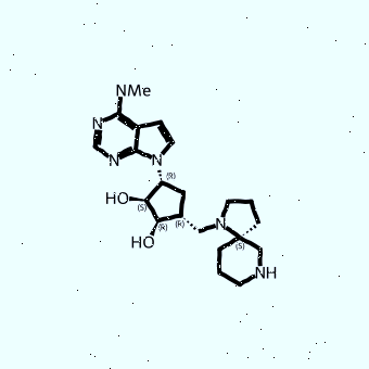 CNc1ncnc2c1ccn2[C@@H]1C[C@H](CN2CCC[C@]23CCCNC3)[C@@H](O)[C@H]1O